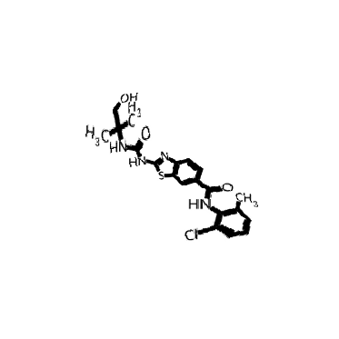 Cc1cccc(Cl)c1NC(=O)c1ccc2nc(NC(=O)NC(C)(C)CO)sc2c1